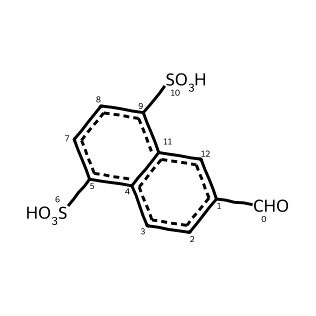 O=Cc1ccc2c(S(=O)(=O)O)ccc(S(=O)(=O)O)c2c1